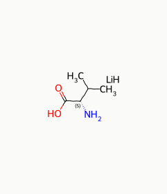 CC(C)[C@H](N)C(=O)O.[LiH]